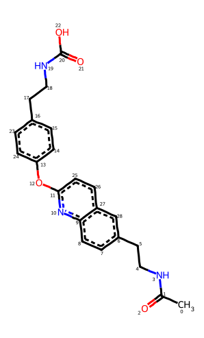 CC(=O)NCCc1ccc2nc(Oc3ccc(CCNC(=O)O)cc3)ccc2c1